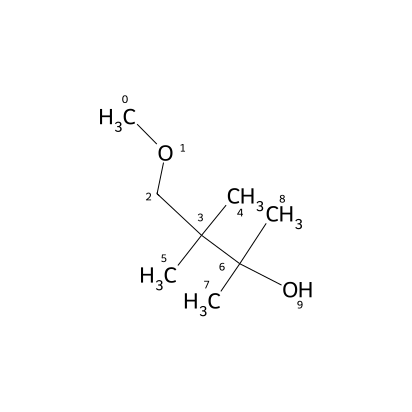 COCC(C)(C)C(C)(C)O